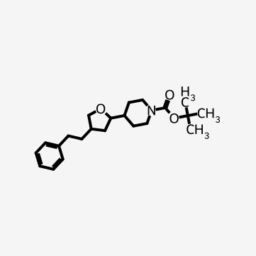 CC(C)(C)OC(=O)N1CCC(C2CC(CCc3ccccc3)CO2)CC1